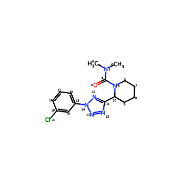 CN(C)C(=O)N1CCCCC1c1nnn(-c2cccc(Cl)c2)n1